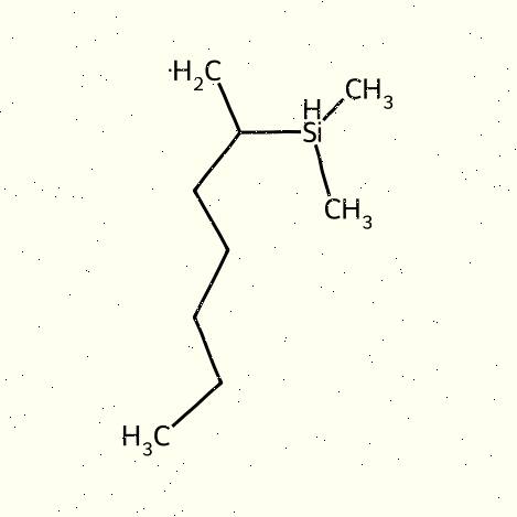 [CH2]C(CCCCC)[SiH](C)C